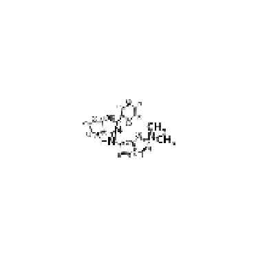 CN(C)c1ccc(/C=C\CNc2nc(-c3ccccc3)nc3ccccc23)cc1